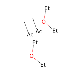 CC(C)=O.CC(C)=O.CCOCC.CCOCC